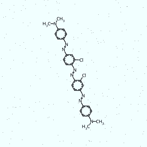 CN(C)c1ccc(N=Nc2ccc(N=Nc3ccc(N=Nc4ccc(N(C)C)cc4)cc3Cl)c(Cl)c2)cc1